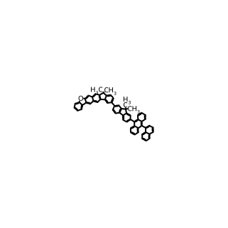 CC1(C)c2cc(-c3ccc4c(c3)-c3cc5cc6c(cc5cc3C4(C)C)oc3ccccc36)ccc2-c2ccc(-c3c4ccccc4c(-c4cccc5ccccc45)c4ccccc34)cc21